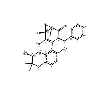 CC1(C)Oc2ccc(C#N)cc2[C@@H](OC2=NN(Cc3ccccc3)C(=O)[C@H]3C[C@@H]23)[C@@H]1O